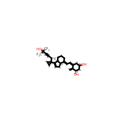 C=C1/C(=C\C=C2/CCC[C@]3(C)C(C4(CC#CC(O)(C(F)(F)F)C(F)(F)F)CC4)=CCC23)CC(O)C[C@@H]1O